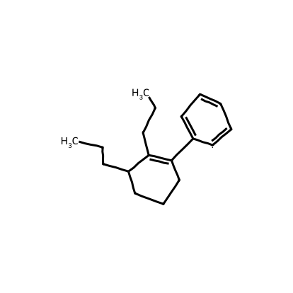 CCCC1=C(c2[c]cccc2)CCCC1CCC